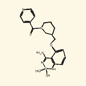 NC1=NS(O)(O)Nc2cccc(OCC3CCCN(C(=O)c4ccncc4)C3)c21